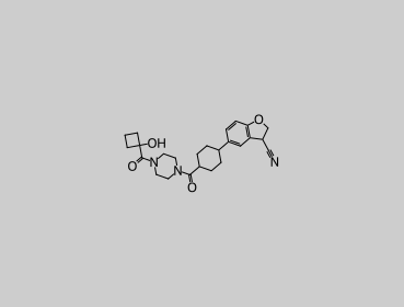 N#CC1COc2ccc(C3CCC(C(=O)N4CCN(C(=O)C5(O)CCC5)CC4)CC3)cc21